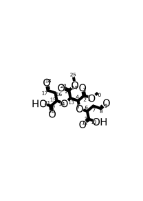 COC(=O)C(OC(CC=O)C(=O)O)C(OC(CC=O)C(=O)O)C(=O)OC